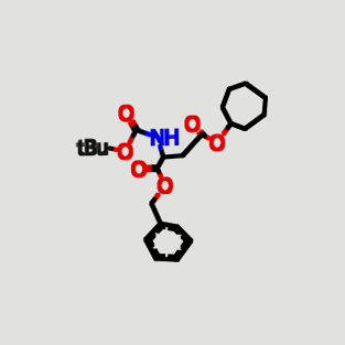 CC(C)(C)OC(=O)NC(CC(=O)OC1CCCCCC1)C(=O)OCc1ccccc1